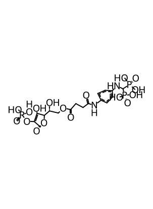 O=C(CCC(=O)OC[C@H](O)C1OC(=O)C(OP(=O)(O)O)=C1O)Nc1ccc(NC(P(=O)(O)O)P(=O)(O)O)cc1